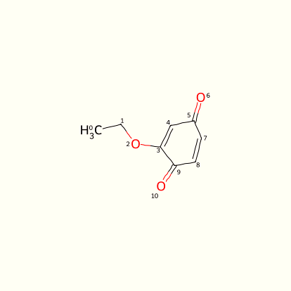 CCOC1=CC(=O)C=CC1=O